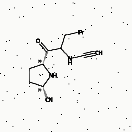 C#CNC(CC(C)C)C(=O)[C@H]1CC[C@@H](C#N)N1